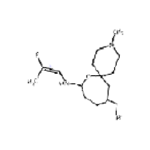 C/C(F)=C\NC1CCC(CC(C)C)CC2(CCN(C)CC2)O1